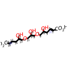 O=C(O)/C=C/CC(O)COCC(O)COCC(O)C/C=C/C(=O)O